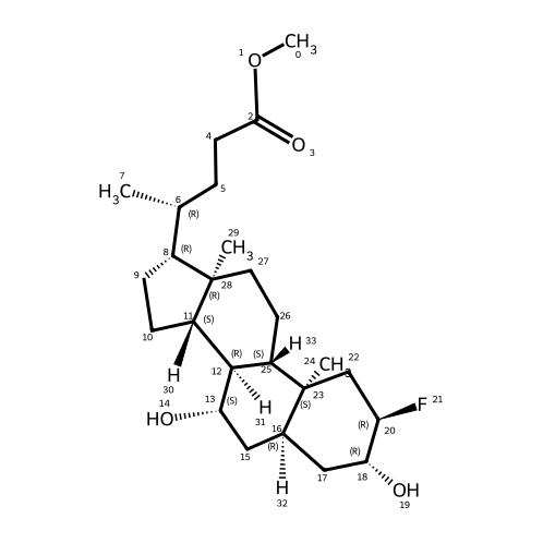 COC(=O)CC[C@@H](C)[C@H]1CC[C@H]2[C@@H]3[C@@H](O)C[C@@H]4C[C@@H](O)[C@H](F)C[C@]4(C)[C@H]3CC[C@]12C